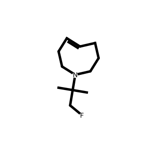 CC(C)(CF)N1CC/C=C/CCC1